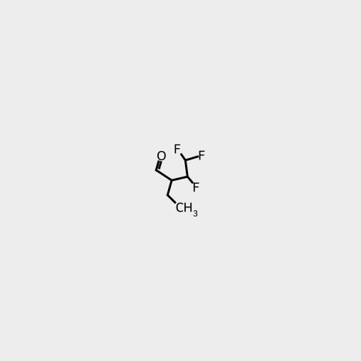 CCC(C=O)C(F)C(F)F